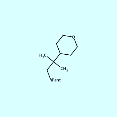 CCCCCCC(C)(C)C1CCOCC1